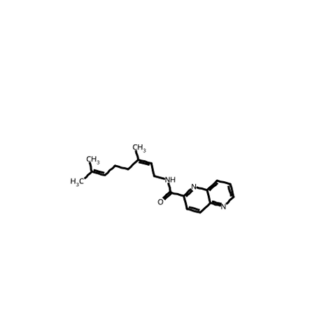 CC(C)=CCCC(C)=CCNC(=O)c1ccc2ncccc2n1